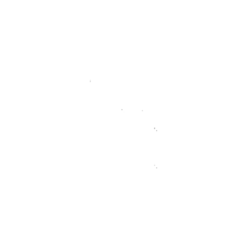 Cc1cc(-c2ccnn2C)c2cccc(OCc3c(Cl)cncc3Cn3c(C)cccc3=O)c2n1